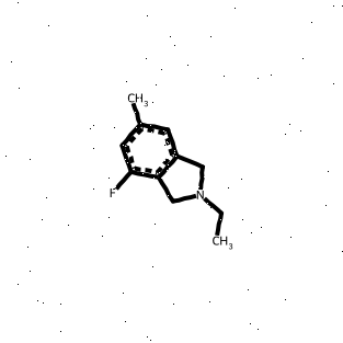 CCN1Cc2cc(C)cc(F)c2C1